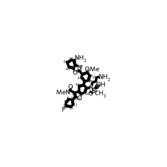 CNC(=O)c1c(-c2ccc(F)cc2)oc2cc(N(CC(O)CN)S(C)(=O)=O)c(-c3ccc(OC)c(-c4nc5c(N)cccc5o4)c3)cc12